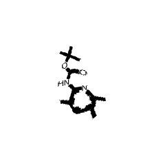 Cc1cc(C)c(NC(=O)OC(C)(C)C)nc1C